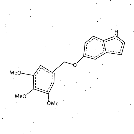 COc1cc(COc2ccc3[nH]c[c]c3c2)cc(OC)c1OC